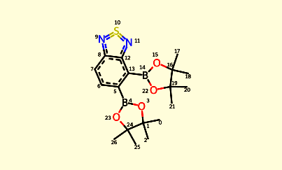 CC1(C)OB(c2ccc3nsnc3c2B2OC(C)(C)C(C)(C)O2)OC1(C)C